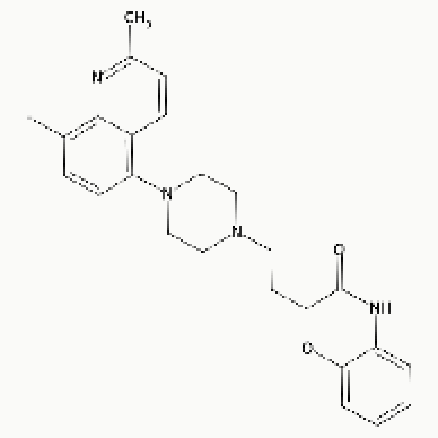 Cc1ccc2c(N3CCN(CCC4Oc5ccccc5NC4=O)CC3)ccc(F)c2n1